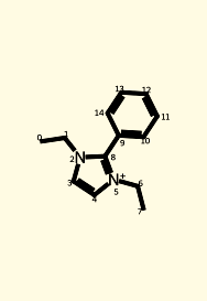 CCn1cc[n+](CC)c1-c1ccccc1